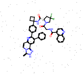 C=C1NN=C2c3cc(-c4ccccc4)c(-c4ccc(C5(NC(=O)[C@@H]6CC(F)(F)CN6C(=O)CNC(=O)c6ccnc7ccccc67)CCC5)cc4)nc3C=CN12